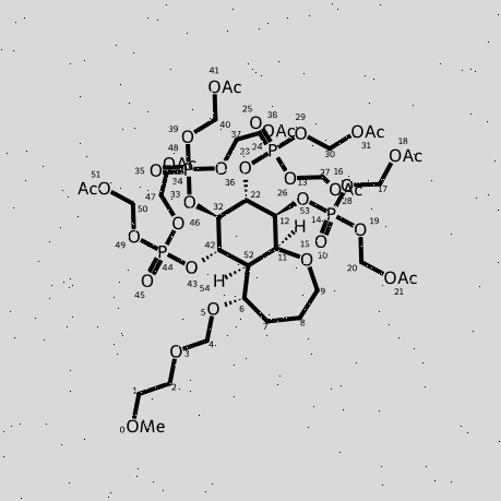 COCCOCO[C@H]1CCCO[C@@H]2[C@H](OP(=O)(OCOC(C)=O)OCOC(C)=O)[C@@H](OP(=O)(OCOC(C)=O)OCOC(C)=O)[C@H](OP(=O)(OCOC(C)=O)OCOC(C)=O)[C@@H](OP(=O)(OCOC(C)=O)OCOC(C)=O)[C@@H]21